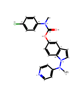 CCCN(c1ccncc1)n1ccc2cc(OC(=O)N(C)c3ccc(Cl)cc3)ccc21